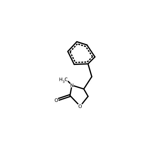 CN1C(=O)OCC1Cc1ccccc1